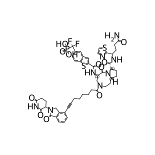 NC(=O)CCC(NC(=O)[C@@H]1CC[C@@H]2CCN(C(=O)CCCCCC#Cc3cccc4c3CN(C3CCC(=O)NC3=O)C4=O)C[C@H](NC(=O)c3cc4cc(C(F)(F)P(=O)(O)O)ccc4s3)C(=O)N21)c1nccs1